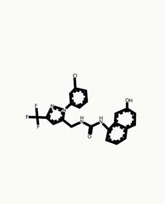 O=C(NCc1cc(C(F)(F)F)nn1-c1cccc(Cl)c1)Nc1cccc2ccc(O)cc12